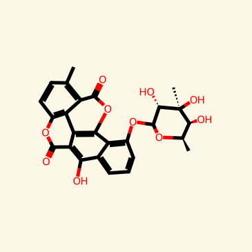 Cc1ccc2oc(=O)c3c(O)c4cccc(OC5O[C@H](C)[C@H](O)[C@](C)(O)[C@H]5O)c4c4oc(=O)c1c2c34